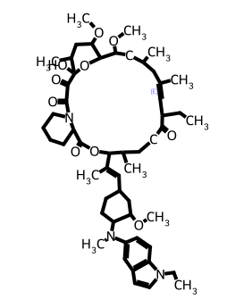 CCC1/C=C(\C)CC(C)CC(OC)C2OC(O)(C(=O)C(=O)N3CCCCC3C(=O)OC(C(C)=CC3CCC(N(C)c4ccc5c(ccn5CC)c4)C(OC)C3)C(C)CCC1=O)C(C)CC2OC